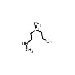 C=[N+](CCO)CCNC